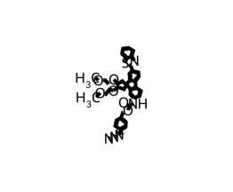 COCCOCCC1(CCOCCOC)c2cc(NC(=O)OCc3ccc(N=[N+]=[N-])cc3)ccc2-c2ccc(-c3nc4ccccc4s3)cc21